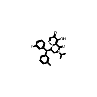 Cc1cccc(C(c2cccc(F)c2)C2CN(C(C)C)C(=O)c3c(O)c(=O)cnn32)c1